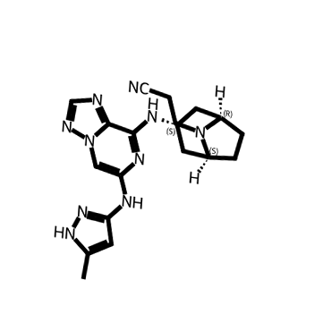 Cc1cc(Nc2cn3ncnc3c(N[C@@H]3C[C@H]4CC[C@@H](C3)N4CCC#N)n2)n[nH]1